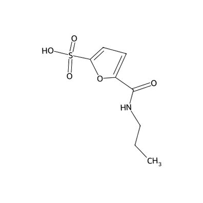 CCCNC(=O)c1ccc(S(=O)(=O)O)o1